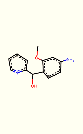 COc1cc(N)ccc1C(O)c1ccccn1